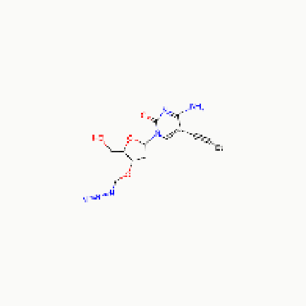 CCC#Cc1cn(C2CC(OCN=[N+]=[N-])C(CO)O2)c(=O)nc1N